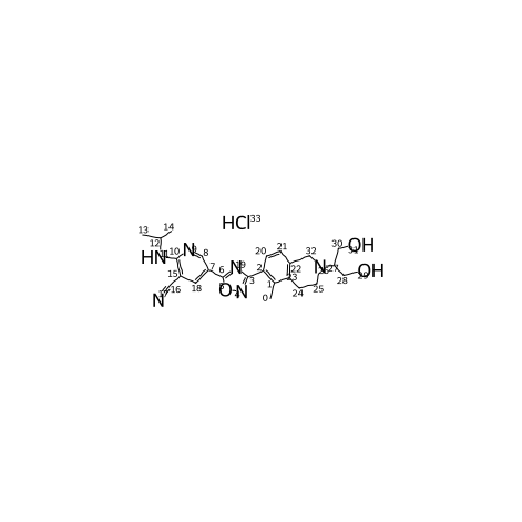 Cc1c(-c2noc(-c3cnc(NC(C)C)c(C#N)c3)n2)ccc2c1CCN(C(CO)CO)C2.Cl